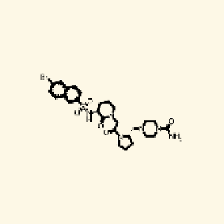 NC(=O)N1CCN(C[C@@H]2CCCN2C(=O)CN2CCC[C@H](NS(=O)(=O)c3ccc4cc(Br)ccc4c3)C2=O)CC1